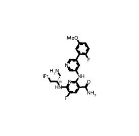 COc1ccc(F)c(-c2cncc(Nc3nc(N[C@@H](CN)CC(C)C)c(F)cc3C(N)=O)c2)c1